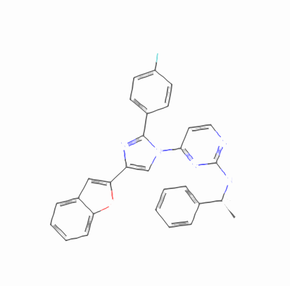 C[C@H](Nc1nccc(-n2cc(-c3cc4ccccc4o3)nc2-c2ccc(F)cc2)n1)c1ccccc1